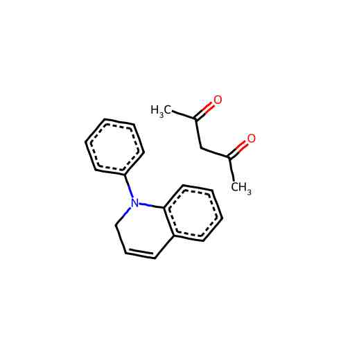 C1=Cc2ccccc2N(c2ccccc2)C1.CC(=O)CC(C)=O